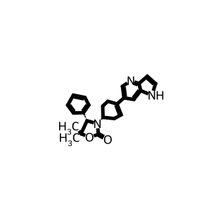 CC1(C)OC(=O)N([C@H]2CC=C(c3cnc4cc[nH]c4c3)CC2)[C@H]1c1ccccc1